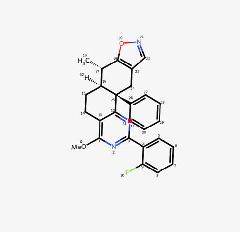 COc1nc(-c2ccccc2F)nc2c1CC[C@H]1[C@H](C)c3oncc3C[C@]21c1ccccc1